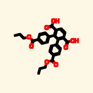 CCCOC(=O)c1ccc(-c2c(C(=O)O)ccc(C(=O)O)c2-c2ccc(C(=O)OCCC)cc2)cc1